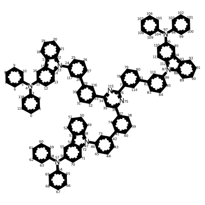 c1ccc(N(c2ccccc2)c2ccc3c(c2)c2ccccc2n3-c2cccc(-c3cccc(-c4cc(-c5cccc(-c6cccc(-n7c8ccccc8c8cc(N(c9ccccc9)c9ccccc9)ccc87)c6)c5)nc(-c5cccc(-c6cccc(-n7c8ccccc8c8cc(N(c9ccccc9)c9ccccc9)ccc87)c6)c5)n4)c3)c2)cc1